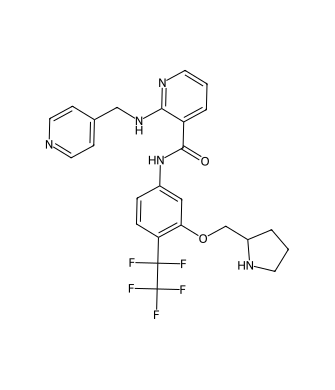 O=C(Nc1ccc(C(F)(F)C(F)(F)F)c(OCC2CCCN2)c1)c1cccnc1NCc1ccncc1